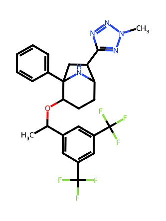 CC(OC1CCC2NC1(c1ccccc1)CC2c1nnn(C)n1)c1cc(C(F)(F)F)cc(C(F)(F)F)c1